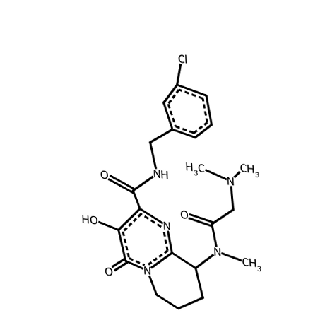 CN(C)CC(=O)N(C)C1CCCn2c1nc(C(=O)NCc1cccc(Cl)c1)c(O)c2=O